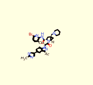 CC(=O)c1nn(CC(=O)N2[C@H]3C[C@@]3(CN3CCCCC3)C[C@H]2C(=O)Nc2nc(Br)ccc2C)c2ccc(-c3cnc(C)nc3)cc12